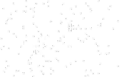 CC(C)(C)[Si](C)(C)OCCC1Oc2ccc(F)cc2NC1=O